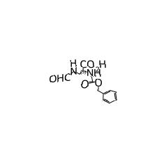 O=CNC[C@H](NC(=O)OCc1ccccc1)C(=O)O